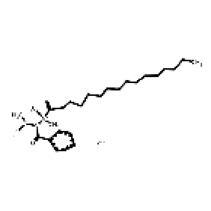 CCCCCCCCCCCCCCCC(=O)[N+](C)(C)N(C(=O)c1ccccc1)N(C)C.[Cl-]